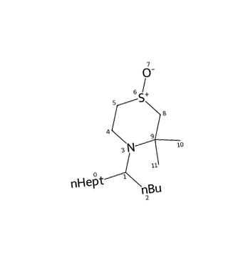 CCCCCCCC(CCCC)N1CC[S+]([O-])CC1(C)C